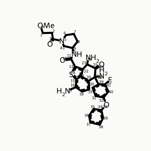 COCCC(=O)N1CCCC(NC(=O)c2sc3c(N)ccc4c3c2C(N)C(=O)C4(N)c2ccc(Oc3ccccc3)cc2F)C1